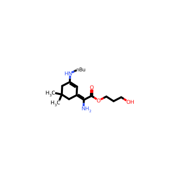 CCCCNC1=C/C(=C(/N)C(=O)OCCCO)CC(C)(C)C1